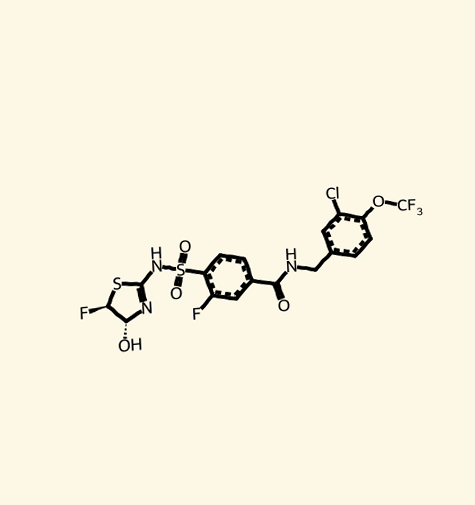 O=C(NCc1ccc(OC(F)(F)F)c(Cl)c1)c1ccc(S(=O)(=O)NC2=N[C@H](O)[C@@H](F)S2)c(F)c1